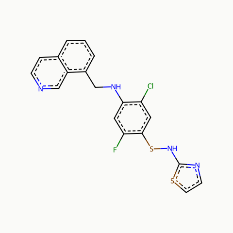 Fc1cc(NCc2cccc3ccncc23)c(Cl)cc1SNc1nccs1